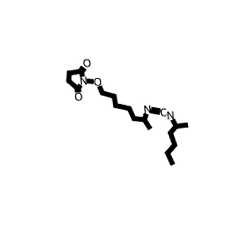 CCCCC(C)N=C=NC(C)CCCCCON1C(=O)CCC1=O